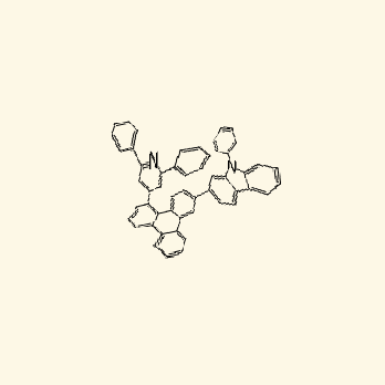 c1ccc(-c2cc(-c3cccc4c5ccccc5c5cc(-c6ccc7c8ccccc8n(-c8ccccc8)c7c6)ccc5c34)cc(-c3ccccc3)n2)cc1